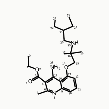 CCOC(=O)c1c(C)nc2cccc(OCC(C)(C)NCC(CC)CC)c2c1N